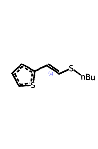 CCCCS/C=C/c1cccs1